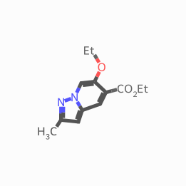 CCOC(=O)c1cc2cc(C)nn2cc1OCC